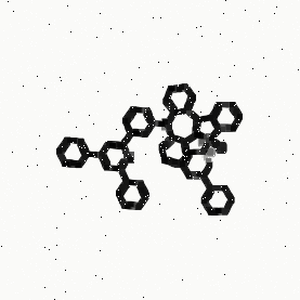 O=[P@@]1([C@H]2C=CC=C(C3=CC=CCC3)C2)C2=C(c3ccccc3N(c3cccc(-c4cc(-c5ccccc5)cc(-c5ccccc5)n4)c3)c3ccccc32)c2ccccc21